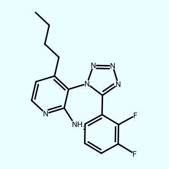 CCCCc1ccnc(N)c1-n1nnnc1-c1cccc(F)c1F